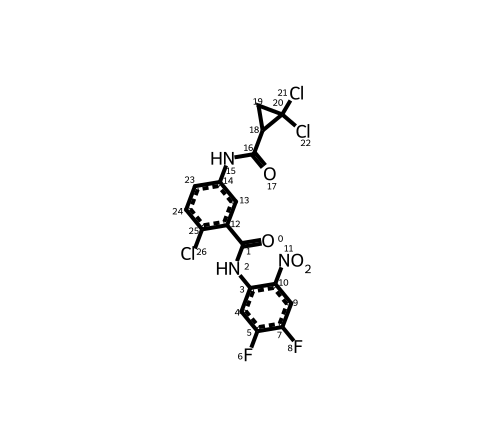 O=C(Nc1cc(F)c(F)cc1[N+](=O)[O-])c1cc(NC(=O)C2CC2(Cl)Cl)ccc1Cl